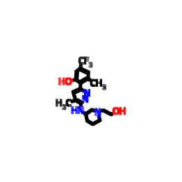 Cc1cc(-c2c(C)cc(C(F)(F)F)cc2O)nnc1NC1CCCN(CCO)C1